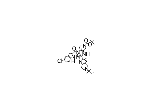 CCC(C)(C)N1CCc2nc(C(=O)N[C@@H]3CN(C(=O)OC(C)(C)C)CC[C@@H]3NC(=O)c3cc4cc(Cl)ccc4[nH]3)sc2C1